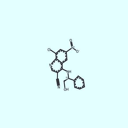 N#Cc1cnc2c(Cl)cc([N+](=O)[O-])cc2c1N[C@H](CO)c1ccccc1